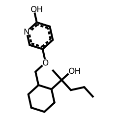 CCCC(C)(O)C1CCCCC1COc1ccc(O)nc1